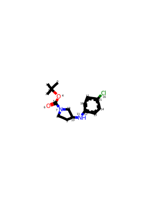 CC(C)(C)OC(=O)N1CCC(Nc2ccc(Cl)cc2)C1